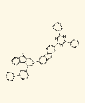 c1ccc(-c2cccc(-c3cc(-c4ccc5sc6cc(-c7nc(-c8ccccc8)nc(-c8ccccc8)n7)ccc6c5c4)cc4sc5ccccc5c34)c2)cc1